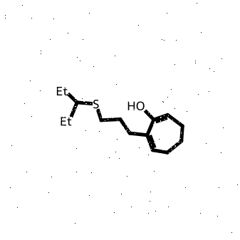 CCC(CC)SCCCC1=CCCCC=C1O